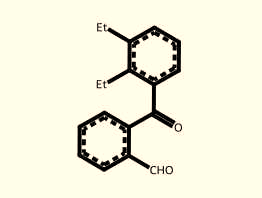 CCc1cccc(C(=O)c2ccccc2C=O)c1CC